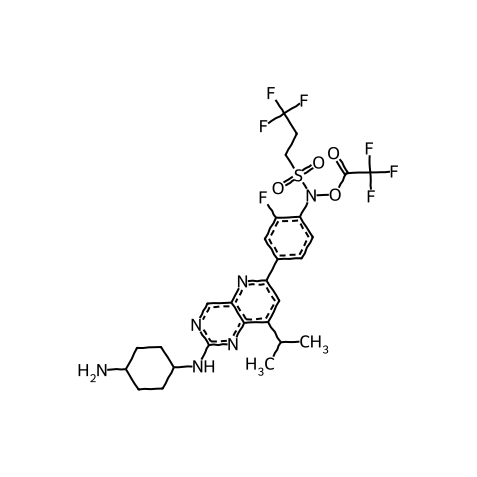 CC(C)c1cc(-c2ccc(N(OC(=O)C(F)(F)F)S(=O)(=O)CCC(F)(F)F)c(F)c2)nc2cnc(NC3CCC(N)CC3)nc12